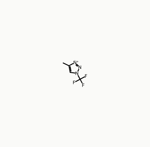 CC1=CN(C(F)(F)F)N=[N+]1